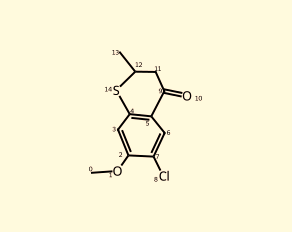 COc1cc2c(cc1Cl)C(=O)CC(C)S2